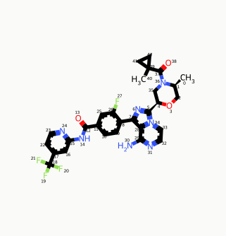 C[C@H]1CO[C@@H](c2nc(-c3ccc(C(=O)Nc4cc(C(F)(F)F)ccn4)cc3F)c3c(N)nccn23)CN1C(=O)C1(C)CC1